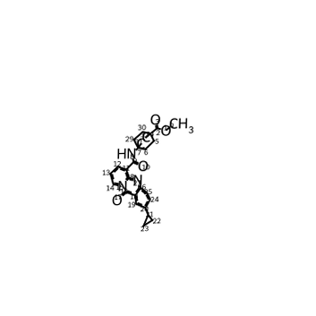 COC(=O)C12CCC(NC(=O)c3cccn4c(=O)c5cc(C6CC6)ccc5nc34)(CC1)CC2